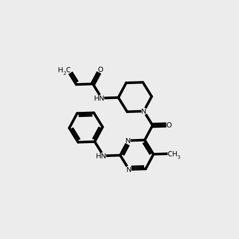 C=CC(=O)NC1CCCN(C(=O)c2nc(Nc3ccccc3)ncc2C)C1